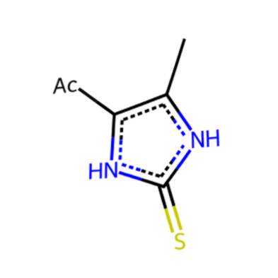 CC(=O)c1[nH]c(=S)[nH]c1C